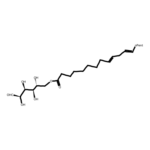 CCCCCC=CCC=CCCCCCCCC(=O)OC[C@@H](O)[C@@H](O)[C@H](O)[C@@H](O)C=O